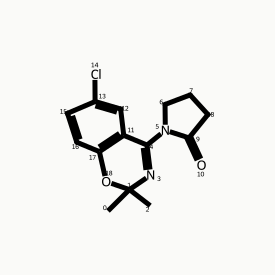 CC1(C)N=C(N2CCCC2=O)c2cc(Cl)ccc2O1